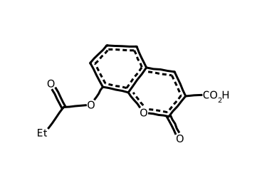 CCC(=O)Oc1cccc2cc(C(=O)O)c(=O)oc12